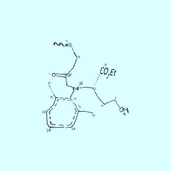 CCOC(=O)[C@H](CCO)N(C(=O)COC)c1c(C)cccc1C